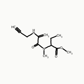 C#CCNC(=C)C(=O)N(C)C(CC)C(=O)OC